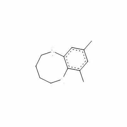 Cc1cc(C)c2c(c1)NCCCCS2